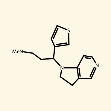 CNCCC(c1ccsc1)N1CCc2cnccc21